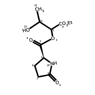 CCOC(=O)C(OC(=O)[C@@H]1CCC(=O)N1)C(C)O